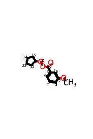 COc1cccc(C(=O)OO[C]2CCCC2)c1